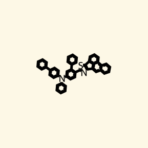 c1ccc(-c2ccc(N(c3ccccc3)c3ccc(-c4nc5c(s4)-c4cccc6c4c-5cc4ccccc46)c(-c4ccccc4)c3)cc2)cc1